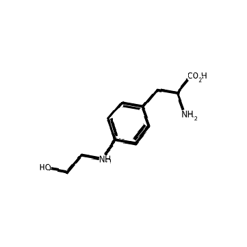 NC(Cc1ccc(NCCO)cc1)C(=O)O